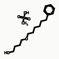 CS(=O)(=O)O.OCCCCOCCCCCCc1ccccc1